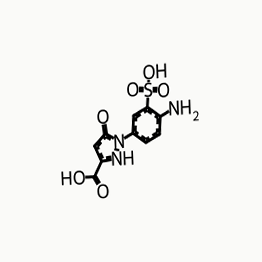 Nc1ccc(-n2[nH]c(C(=O)O)cc2=O)cc1S(=O)(=O)O